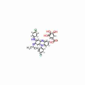 CC(C)N=c1cc2n(-c3ccc(Cl)cc3)c3ccccc3nc-2cc1Nc1ccc(Cl)cc1.O=C(O)c1cc(O)c(O)c(O)c1